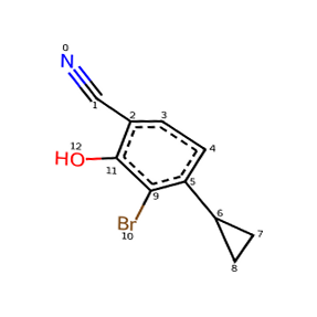 N#Cc1ccc(C2CC2)c(Br)c1O